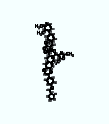 Cc1nc(C(=O)N2Cc3cc4c(cc3C[C@H]2C(=O)NC(Cc2ccc(-c3ccnc(C)c3C)cc2)C(=O)O)OC[C@H](c2ccc(OCC3CCCC3)cc2)O4)c(C)o1